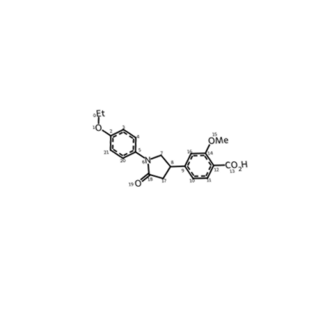 CCOc1ccc(N2CC(c3ccc(C(=O)O)c(OC)c3)CC2=O)cc1